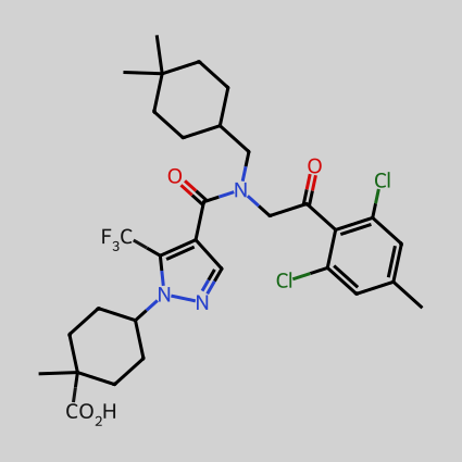 Cc1cc(Cl)c(C(=O)CN(CC2CCC(C)(C)CC2)C(=O)c2cnn(C3CCC(C)(C(=O)O)CC3)c2C(F)(F)F)c(Cl)c1